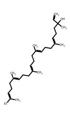 C=CC(C)(O)CCC=C(C)CCC=C(C)CCC=C(C)CCC=C(C)CCC=C(C)CC